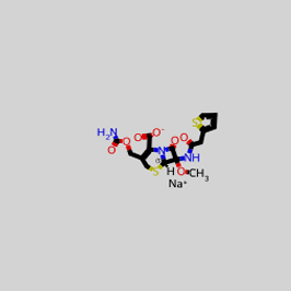 COC1(NC(=O)Cc2cccs2)C(=O)N2C(C(=O)[O-])=C(COC(N)=O)CS[C@H]21.[Na+]